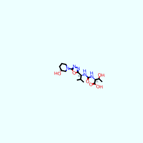 CC(O)[C@H](NC(=O)N[C@H](c1nnc(N2CCC[C@@H](O)C2)o1)C(C)C)C(=O)O